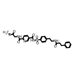 COC(=O)CNC(=O)c1ccc(C(=O)NS(=O)(=O)c2ccc(CCNC(=O)CCc3ccccc3)cc2)cn1